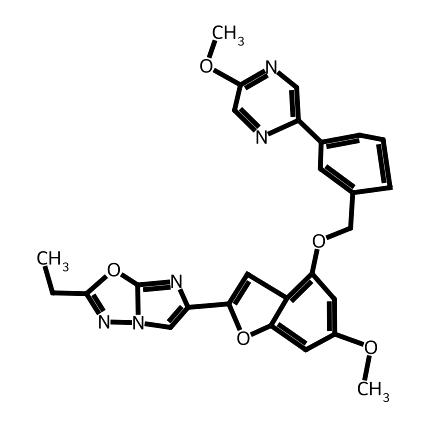 CCc1nn2cc(-c3cc4c(OCc5cccc(-c6cnc(OC)cn6)c5)cc(OC)cc4o3)nc2o1